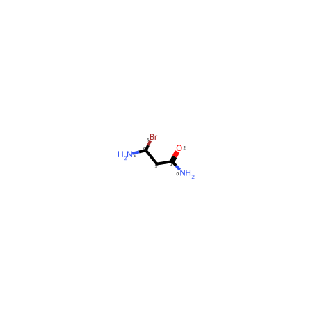 NC(=O)CC(N)Br